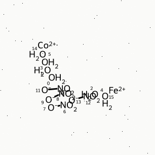 O.O.O.O.O.O.O=[N+]([O-])[O-].O=[N+]([O-])[O-].O=[N+]([O-])[O-].O=[N+]([O-])[O-].[Co+2].[Fe+2]